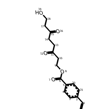 C=Cc1ccc(C(=O)OCCC(=O)CCC(=O)CCO)cc1